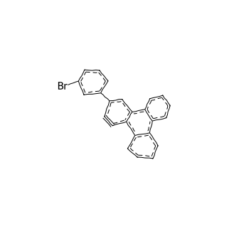 Brc1cccc(-c2c#cc3c4ccccc4c4ccccc4c3c2)c1